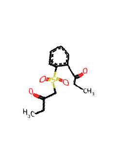 CCC(=O)CS(=O)(=O)c1ccccc1C(=O)CC